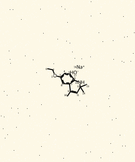 CCOc1ccc2c(c1)C(C)=CC(C)(C)N2.[Na+].[OH-]